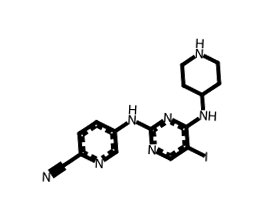 N#Cc1ccc(Nc2ncc(I)c(NC3CCNCC3)n2)cn1